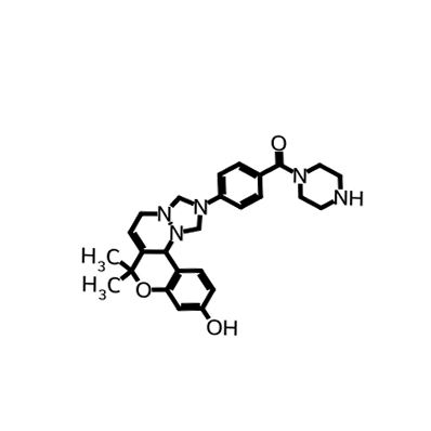 CC1(C)Oc2cc(O)ccc2C2C1=CCN1CN(c3ccc(C(=O)N4CCNCC4)cc3)CN21